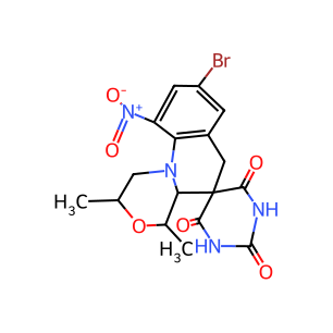 CC1CN2c3c(cc(Br)cc3[N+](=O)[O-])CC3(C(=O)NC(=O)NC3=O)C2C(C)O1